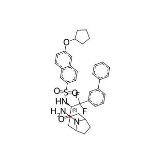 NC1CC2CCC(C1)N2C(=O)[C@@H](NS(=O)(=O)c1ccc2cc(OC3CCCC3)ccc2c1)C(F)(F)c1cccc(-c2ccccc2)c1